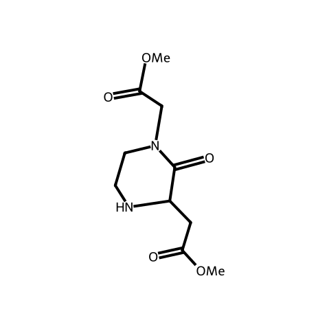 COC(=O)CC1NCCN(CC(=O)OC)C1=O